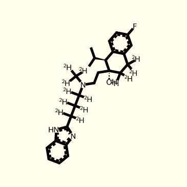 [2H]C([2H])([2H])N(CC[C@@]1(O)[C@@H](C(C)C)c2ccc(F)cc2C([2H])([2H])C1([2H])[2H])C([2H])([2H])C([2H])([2H])C([2H])([2H])c1nc2ccccc2[nH]1